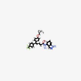 CCOc1ccc(C(=CC=CC(=O)Nc2cccc3[nH]ncc23)c2ccc(C(F)(F)F)cc2)cc1